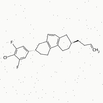 C=CCC[C@H]1CCc2c(ccc3c2CC[C@H](c2cc(F)c(Cl)c(F)c2)C3)C1